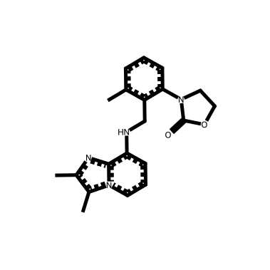 Cc1cccc(N2CCOC2=O)c1CNc1cccn2c(C)c(C)nc12